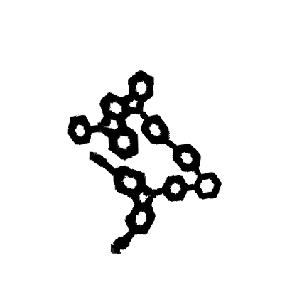 N#Cc1ccc2c(c1)c1cc(C#N)ccc1n2-c1ccc(C2CCCC[C@@H]2c2ccc(-c3ccc(-n4c5ccccc5c5ccc6c(c7ccccc7n6-c6ccccc6)c54)cc3)cc2)cc1